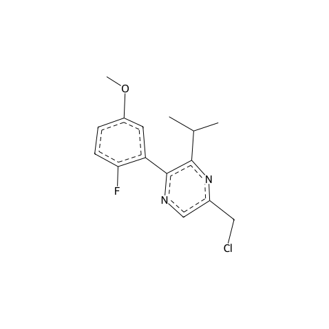 COc1ccc(F)c(-c2ncc(CCl)nc2C(C)C)c1